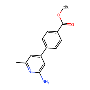 Cc1cc(-c2ccc(C(=O)OC(C)(C)C)cc2)cc(N)n1